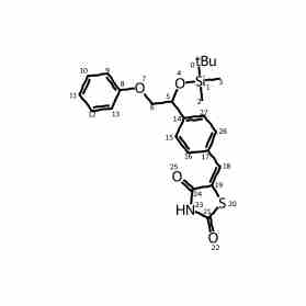 CC(C)(C)[Si](C)(C)OC(COc1ccccc1)c1ccc(C=C2SC(=O)NC2=O)cc1